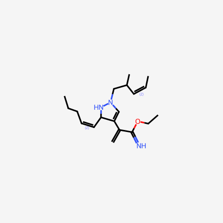 C=C(C(=N)OCC)C1=CN(CC(C)/C=C\C)NC1/C=C\CCC